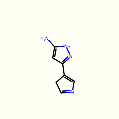 Nc1cc(C2=CN=CC2)n[nH]1